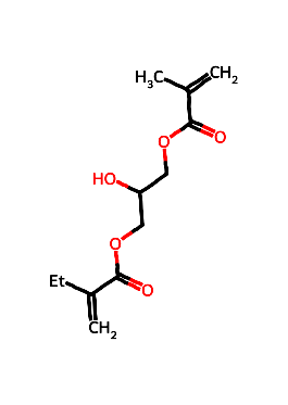 C=C(C)C(=O)OCC(O)COC(=O)C(=C)CC